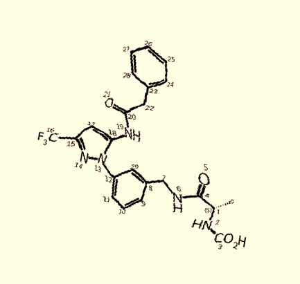 C[C@H](NC(=O)O)C(=O)NCc1cccc(-n2nc(C(F)(F)F)cc2NC(=O)Cc2ccccc2)c1